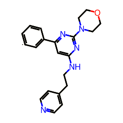 [c]1cccc(-c2cc(NCCc3ccncc3)nc(N3CCOCC3)n2)c1